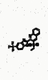 CCS(=O)(=O)c1cc2ccccc2nc1-c1nc2cc(C(F)(F)F)ccc2o1